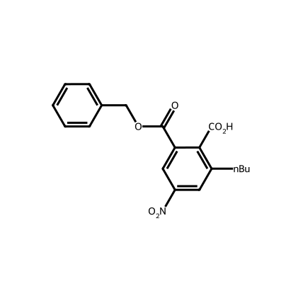 CCCCc1cc([N+](=O)[O-])cc(C(=O)OCc2ccccc2)c1C(=O)O